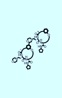 C[C@@H]1Cc2cc(cc(C3CN(CC[C@@H]4NC(=O)[C@@H](C)Cc5cccc(c5)OCCCC[C@@H](C(=O)NC5CCCC5)NC4=O)CCO3)c2)OCCCC[C@@H](C(=O)NC2CCCC2)NC(=O)[C@H](CCN2CCOCC2)NC1=O